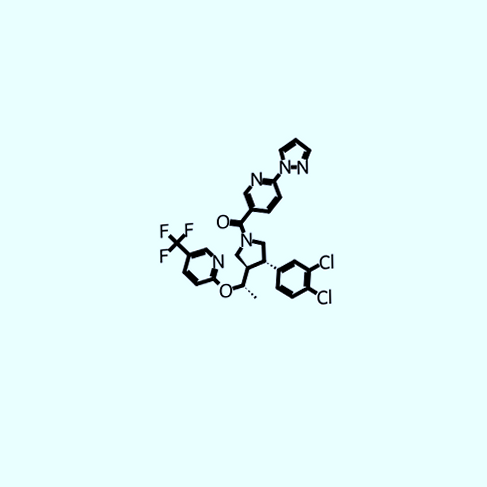 C[C@H](Oc1ccc(C(F)(F)F)cn1)[C@H]1CN(C(=O)c2ccc(-n3cccn3)nc2)C[C@@H]1c1ccc(Cl)c(Cl)c1